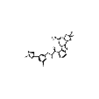 Cn1cc(-c2cc(F)cc(CNC(=O)c3nccc4nc(C5CCC(F)(F)C5)n(CC(N)=O)c34)c2)cn1